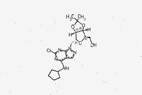 CC1(C)O[C@@H]2[C@H](O1)[C@@H](CO)O[C@@H]2Cn1ncc2c(NC3CCCC3)nc(Cl)nc21